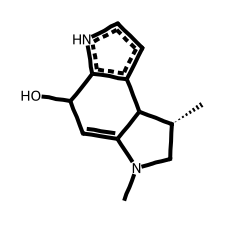 C[C@@H]1CN(C)C2=CC(O)c3[nH]ccc3C21